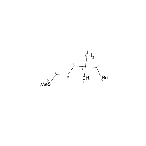 CSCCCC(C)(C)CC(C)(C)C